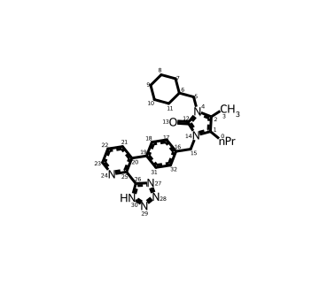 CCCc1c(C)n(CC2CCCCC2)c(=O)n1Cc1ccc(-c2cccnc2-c2nnn[nH]2)cc1